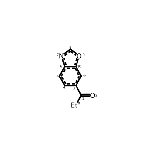 CCC(=O)c1ccc2ncoc2c1